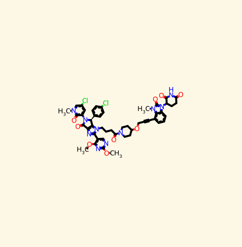 COc1ncc(-c2nc3c(n2CCCC(=O)N2CCC(OCC#Cc4cccc5c4n(C)c(=O)n5C4CCC(=O)NC4=O)CC2)[C@H](c2ccc(Cl)cc2)N(c2cc(Cl)cn(C)c2=O)C3=O)c(OC)n1